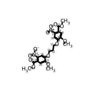 COC(=O)c1cc(OC)c(OCCCOc2cc([N+](=O)[O-])c(C(=O)OC)cc2OC)cc1[N+](=O)[O-]